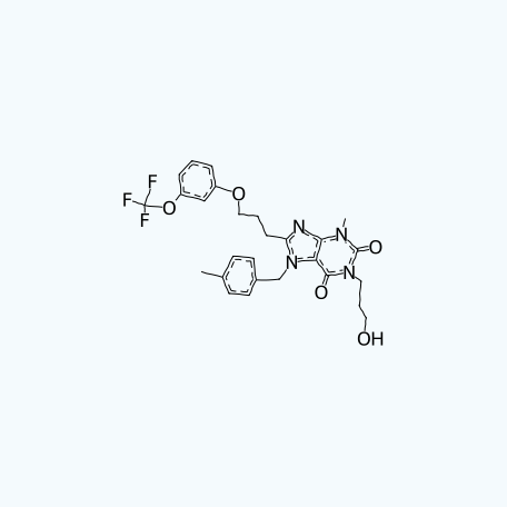 Cc1ccc(Cn2c(CCCOc3cccc(OC(F)(F)F)c3)nc3c2c(=O)n(CCCO)c(=O)n3C)cc1